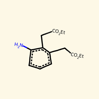 CCOC(=O)Cc1cccc(N)c1CC(=O)OCC